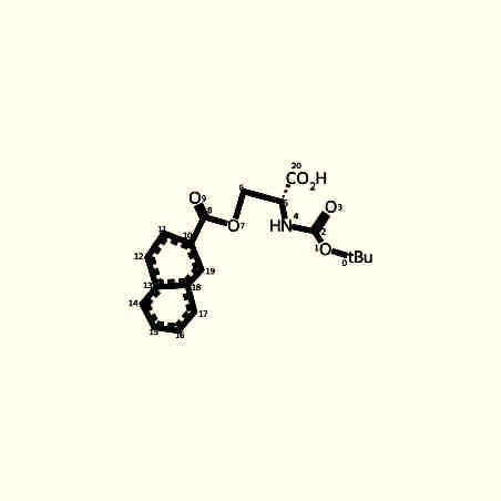 CC(C)(C)OC(=O)N[C@H](COC(=O)c1ccc2ccccc2c1)C(=O)O